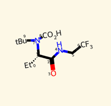 CC[C@@H](C(=O)NCC(F)(F)F)N(C(=O)O)C(C)(C)C